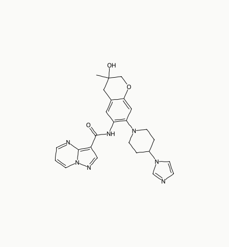 CC1(O)COc2cc(N3CCC(n4ccnc4)CC3)c(NC(=O)c3cnn4cccnc34)cc2C1